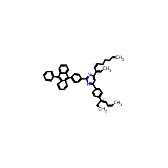 C=CCCC/C=C\C(=C/C)c1cc(-c2ccc(/C(C=C)=C/C=C\C)cc2)nc(-c2ccc(-c3c4ccccc4c(-c4ccccc4)c4ccccc34)cc2)n1